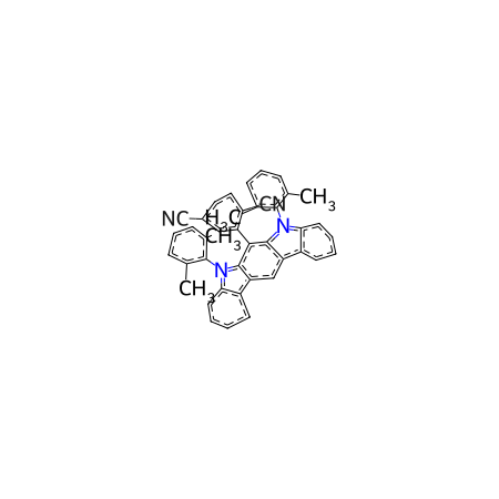 Cc1cccc(C)c1-n1c2ccccc2c2cc3c4ccccc4n(-c4c(C)cccc4C)c3c(-c3cc(C#N)ccc3C#N)c21